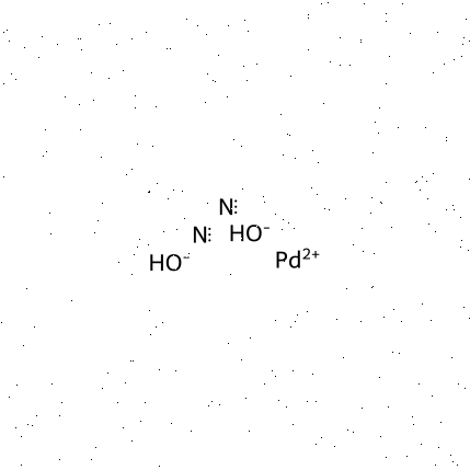 [N].[N].[OH-].[OH-].[Pd+2]